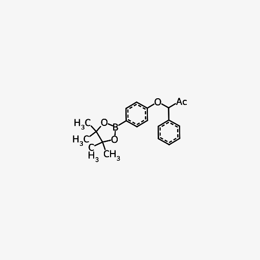 CC(=O)C(Oc1ccc(B2OC(C)(C)C(C)(C)O2)cc1)c1ccccc1